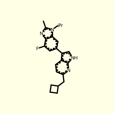 Cc1nc2c(F)cc(-c3c[nH]c4nc(CC5CCC5)ccc34)cc2n1C(C)C